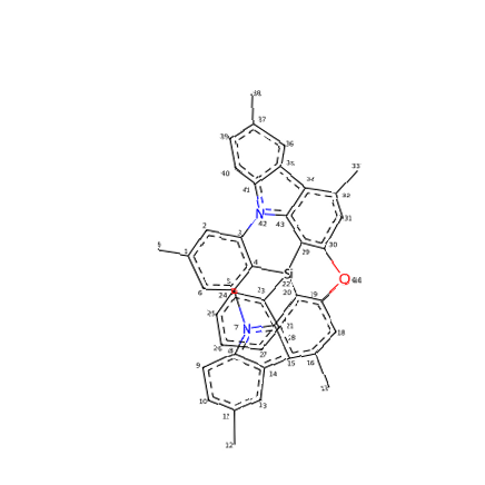 Cc1cc2c3c(c1)-n1c4ccc(C)cc4c4c(C)cc5c(c41)[Si]3(c1ccccc1)c1c(cc(C)c3c4cc(C)ccc4n-2c13)O5